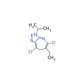 CCC1=C(Cl)N=c2c(ncn2C(C)C)=C(Cl)C1